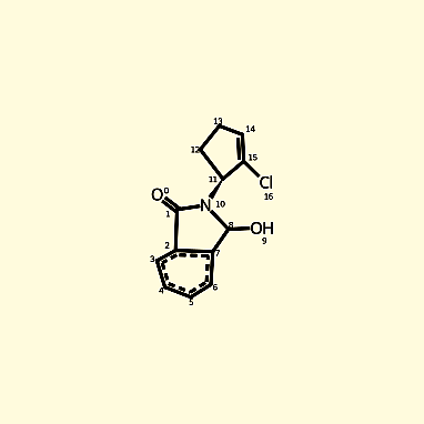 O=C1c2ccccc2C(O)N1[C@H]1CCC=C1Cl